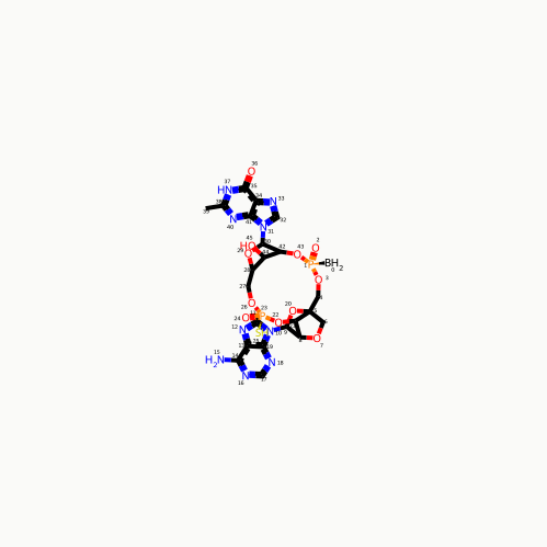 B[P@@]1(=O)OCC23COC(C(n4cnc5c(N)ncnc54)O2)C3O[P@](=O)(S)OCC2OC(n3cnc4c(=O)[nH]c(C)nc43)C(O1)C2O